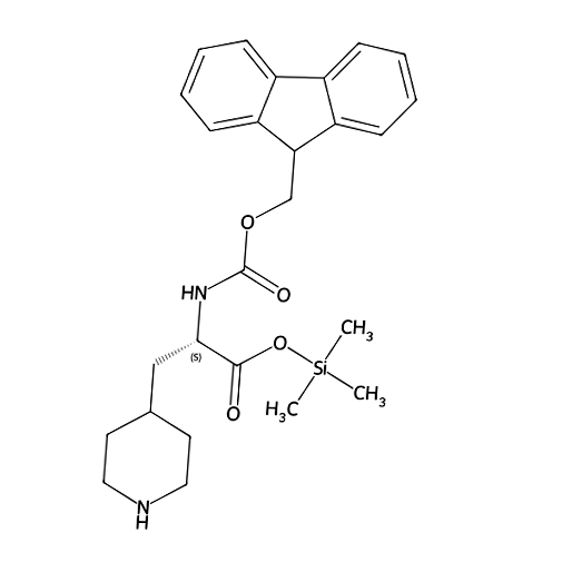 C[Si](C)(C)OC(=O)[C@H](CC1CCNCC1)NC(=O)OCC1c2ccccc2-c2ccccc21